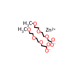 COCCOCCOCC(=O)[O-].COCCOCCOCC(=O)[O-].[Zn+2]